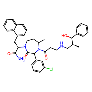 CC1CCN([C@H](Cc2cccc3ccccc23)C(N)=O)C(=O)C(c2cccc(Cl)c2)N1C(=O)CCNC[C@H](C)[C@@H](O)c1ccccc1